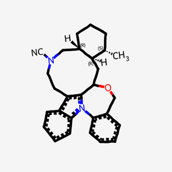 C[C@H]1CCC[C@H]2CN(C#N)CCc3c4n(c5ccccc35)-c3ccccc3COC4C[C@@H]21